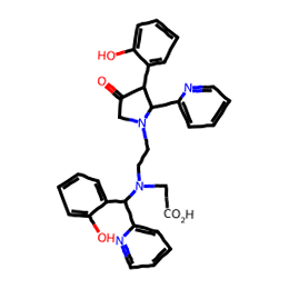 O=C(O)CN(CCN1CC(=O)C(c2ccccc2O)C1c1ccccn1)C(c1ccccn1)c1ccccc1O